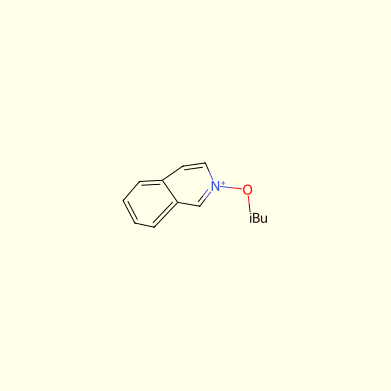 CCC(C)O[n+]1ccc2ccccc2c1